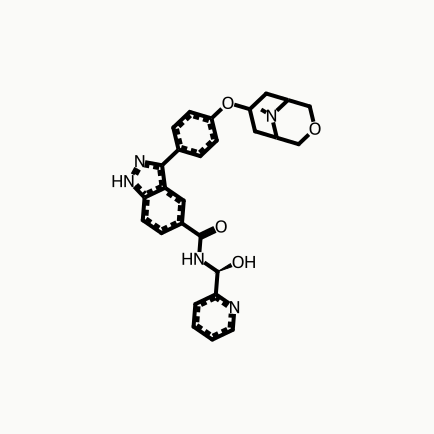 CN1C2COCC1CC(Oc1ccc(-c3n[nH]c4ccc(C(=O)N[C@@H](O)c5ccccn5)cc34)cc1)C2